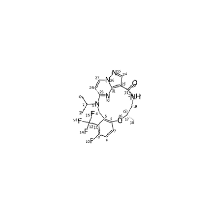 CC(C)N1Cc2c(ccc(F)c2C(F)(F)F)O[C@@H](C)CNC(=O)c2cnn3ccc1nc23